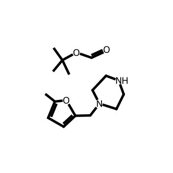 CC(C)(C)OC=O.Cc1ccc(CN2CCNCC2)o1